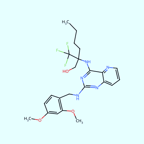 CCCCC(CO)(Nc1nc(NCc2ccc(OC)cc2OC)nc2cccnc12)C(F)(F)F